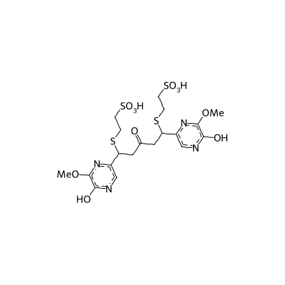 COc1nc(C(CC(=O)CC(SCCS(=O)(=O)O)c2cnc(O)c(OC)n2)SCCS(=O)(=O)O)cnc1O